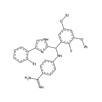 CCOc1cc(OC(C)C)c(F)c(C(Nc2ccc(C(=N)N)cc2)c2nc(-c3ccccc3CC)c[nH]2)c1